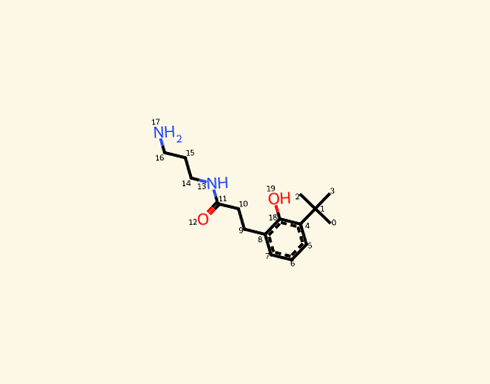 CC(C)(C)c1cccc(CCC(=O)NCCCN)c1O